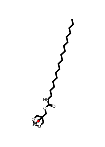 CCCCCCCCCCCCCCCCCCNC(=O)OCC12COP(OC1)OC2